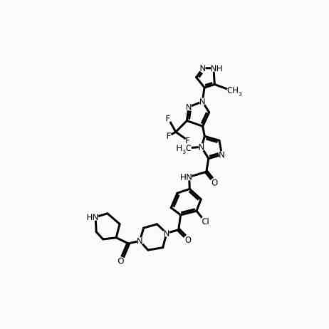 Cc1[nH]ncc1-n1cc(-c2cnc(C(=O)Nc3ccc(C(=O)N4CCN(C(=O)C5CCNCC5)CC4)c(Cl)c3)n2C)c(C(F)(F)F)n1